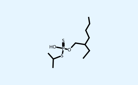 CCCCC(CC)COP(O)(=S)SC(C)C